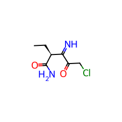 CC[C@@H](C(=N)C(=O)CCl)C(N)=O